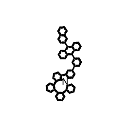 c1cc(-c2ccc3c(c2)c2cccc4c5ccccc5c5ccccc5c5ccccc5n3c42)cc(-c2c3ccccc3c(-c3ccc4ccccc4c3)c3ccccc23)c1